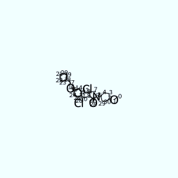 COC1CCC(N2CCC(Cc3c(Cl)cc(OCc4ccccc4)cc3Cl)C2=O)CC1